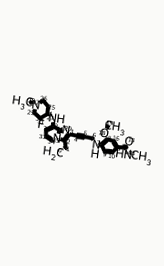 C=Cc1c(C#CCNc2ccc(C(=O)NC)cc2OC)nc2c(N[C@@H]3CCN(C)C[C@@H]3F)cccn12